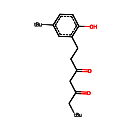 CC(C)(C)CC(=O)CC(=O)CCc1cc(C(C)(C)C)ccc1O